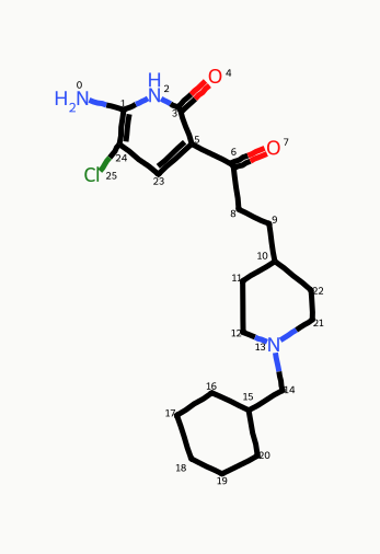 Nc1[nH]c(=O)c(C(=O)CCC2CCN(CC3CCCCC3)CC2)cc1Cl